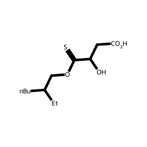 CCCCC(CC)COC(=S)C(O)CC(=O)O